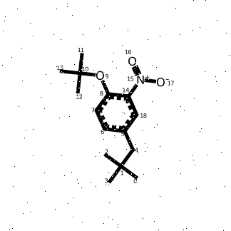 CC(C)(C)Cc1ccc(OC(C)(C)C)c([N+](=O)[O-])c1